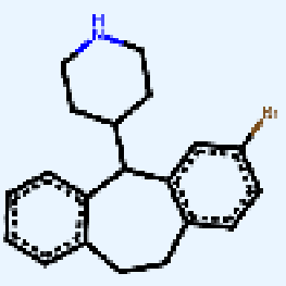 Brc1ccc2c(c1)C(C1CCNCC1)c1ccccc1CC2